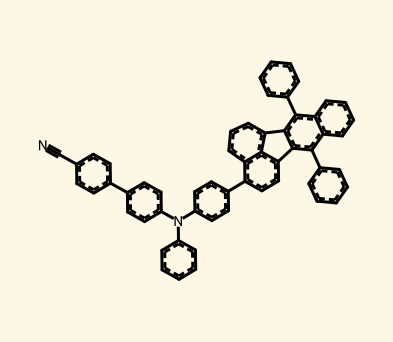 N#Cc1ccc(-c2ccc(N(c3ccccc3)c3ccc(-c4ccc5c6c(cccc46)-c4c-5c(-c5ccccc5)c5ccccc5c4-c4ccccc4)cc3)cc2)cc1